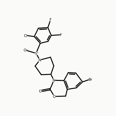 O=C1OCc2cc(Br)ccc2N1C1CCN([S+]([O-])c2cc(F)c(F)cc2Cl)CC1